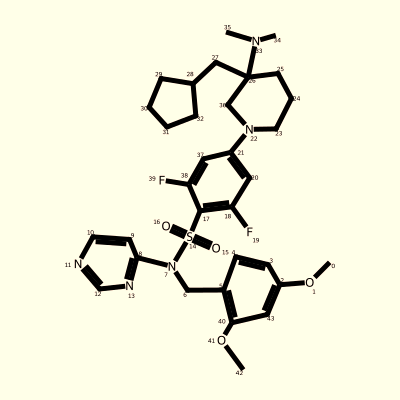 COc1ccc(CN(c2ccncn2)S(=O)(=O)c2c(F)cc(N3CCCC(CC4CCCC4)(N(C)C)C3)cc2F)c(OC)c1